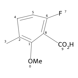 COc1c(C)ccc(F)c1C(=O)O